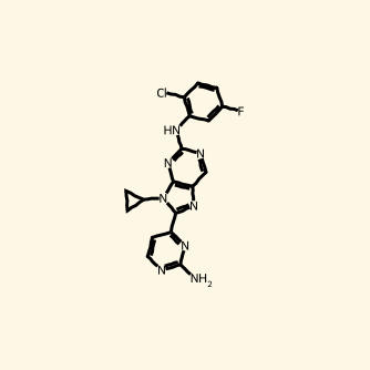 Nc1nccc(-c2nc3cnc(Nc4cc(F)ccc4Cl)nc3n2C2CC2)n1